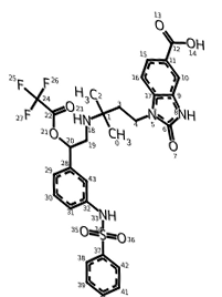 CC(C)(CCn1c(=O)[nH]c2cc(C(=O)O)ccc21)NCC(OC(=O)C(F)(F)F)c1cccc(NS(=O)(=O)c2ccccc2)c1